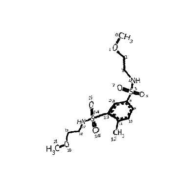 COCCNS(=O)(=O)c1ccc(C)c(S(=O)(=O)NCCOC)c1